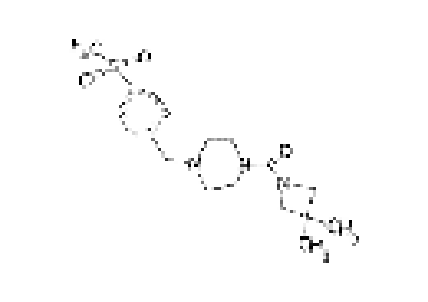 CC1(C)CN(C(=O)N2CCN(Cc3ccc(S(=O)(=O)C(F)(F)F)cc3)CC2)C1